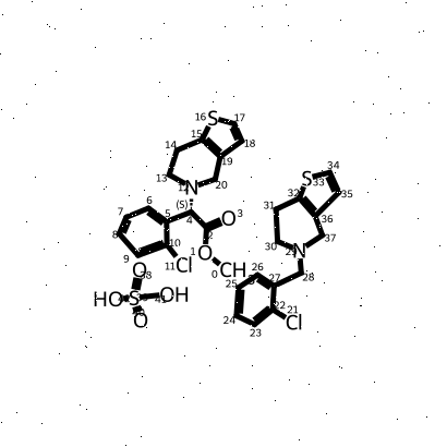 COC(=O)[C@H](c1ccccc1Cl)N1CCc2sccc2C1.Clc1ccccc1CN1CCc2sccc2C1.O=S(=O)(O)O